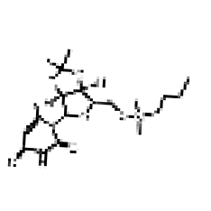 CCCC[Si](C)(C)OC[C@H]1O[C@@H](n2c(I)cc(=O)[nH]c2=O)[C@@H]2OC(C)(C)O[C@@H]21